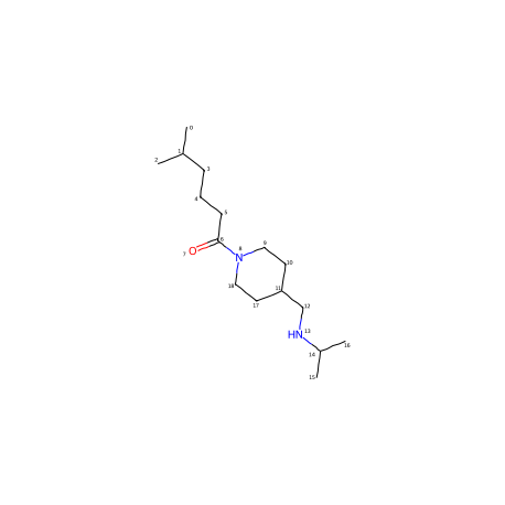 CC(C)CCCC(=O)N1CCC(CNC(C)C)CC1